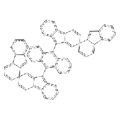 C1=CC2(C=CC3=c4ccccc4=C(c4c5ccccc5c(C5=c6ccccc6=C6C=CC7(C=CC=C8C7=Cc7ccccc78)C=C65)c5ccccc45)C3=C2)C2=Cc3ccccc3C2=C1